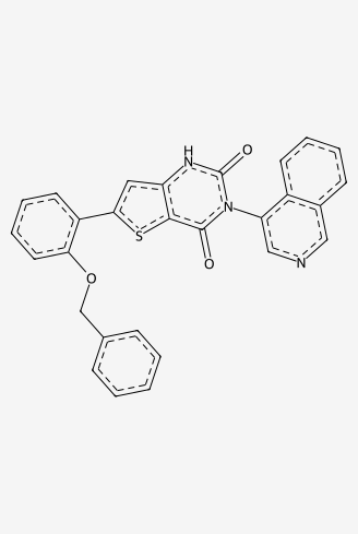 O=c1[nH]c2cc(-c3ccccc3OCc3ccccc3)sc2c(=O)n1-c1cncc2ccccc12